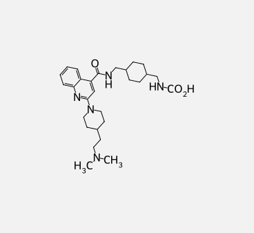 CN(C)CCC1CCN(c2cc(C(=O)NCC3CCC(CNC(=O)O)CC3)c3ccccc3n2)CC1